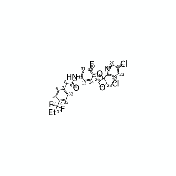 CCC(F)(F)c1ccc(CC(=O)Nc2ccc(OC3(c4ncc(Cl)cc4Cl)COC3)c(F)c2)cc1